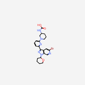 O=C(O)N[C@H]1CCCN(c2cccc(-c3nn(C4CCCCO4)c4cnc(Br)cc34)n2)C1